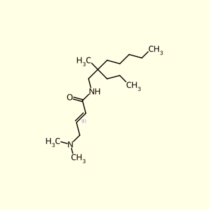 CCCCCC(C)(CCC)CNC(=O)/C=C/CN(C)C